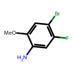 COc1cc(Br)c(F)cc1N